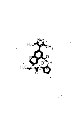 CCOC(=O)NC1CCC[C@H]1NS(=O)(=O)c1cc(-c2c(C)noc2C)cc2ncccc12